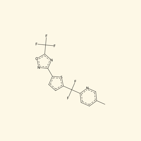 Cc1ccc(C(F)(F)c2ccc(-c3noc(C(F)(F)F)n3)s2)nc1